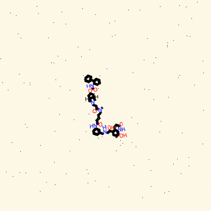 CN(CCCCC(=O)Nc1cccc(CNC[C@H](O)c2ccc(O)c3[nH]c(=O)ccc23)c1)C(=O)CCN1C[C@H]2C[C@H](OC(=O)Nc3ccccc3-c3ccccc3)C[C@H]2C1